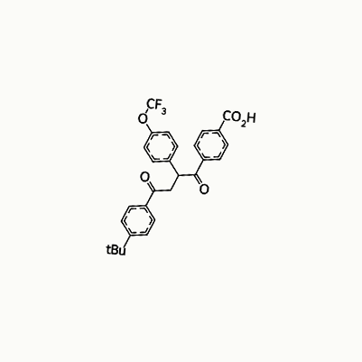 CC(C)(C)c1ccc(C(=O)CC(C(=O)c2ccc(C(=O)O)cc2)c2ccc(OC(F)(F)F)cc2)cc1